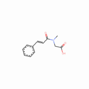 CN(CC(=O)O)C(=O)/C=C/c1ccccc1